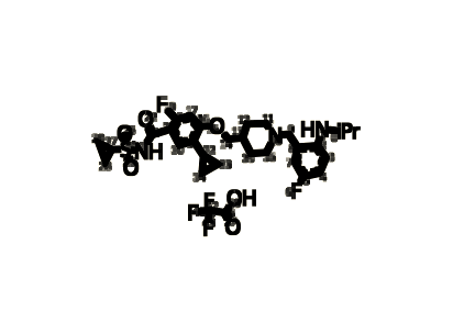 CC(C)Nc1ccc(F)cc1CN1CCC(COc2cc(F)c(C(=O)NS(=O)(=O)C3CC3)cc2C2CC2)CC1.O=C(O)C(F)(F)F